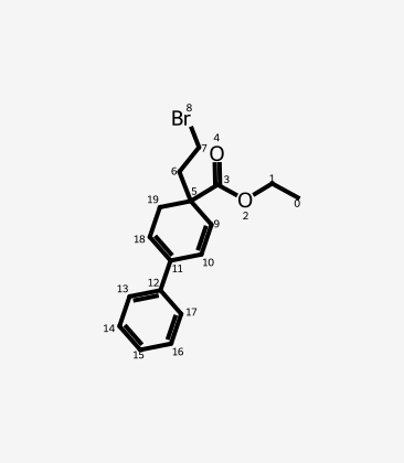 CCOC(=O)C1(CCBr)C=CC(c2ccccc2)=CC1